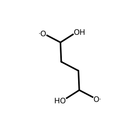 [O]C(O)CCC([O])O